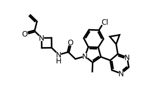 C=CC(=O)N1CC(NC(=O)Cn2c(C)c(-c3cncnc3C3CC3)c3cc(Cl)ccc32)C1